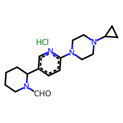 Cl.O=CN1CCCCC1c1ccc(N2CCN(C3CC3)CC2)nc1